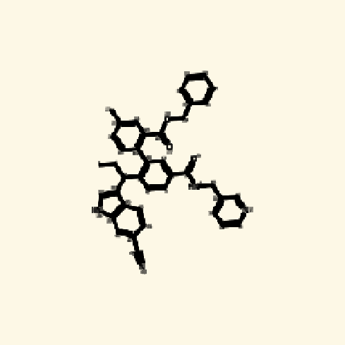 CCC(c1ccc(C(=O)NCc2cccnc2)cc1-c1ccc(C)cc1C(=O)OCc1ccccc1)c1c[nH]c2cc(C#N)ccc12